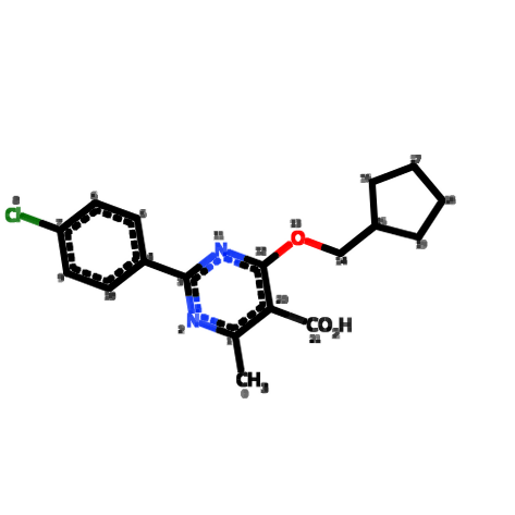 Cc1nc(-c2ccc(Cl)cc2)nc(OCC2CCCC2)c1C(=O)O